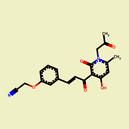 CC(=O)Cn1c(C)cc(O)c(C(=O)/C=C/c2cccc(OCC#N)c2)c1=O